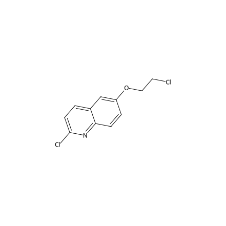 ClCCOc1ccc2nc(Cl)ccc2c1